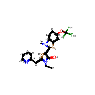 CCn1c(=O)/c(=C2\Sc3cc(OC(F)(F)F)ccc3N2C)s/c1=C\c1ccccn1